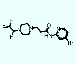 O=C(CCN1CCN(C(F)C(F)F)CC1)Nc1cc(Br)ccn1